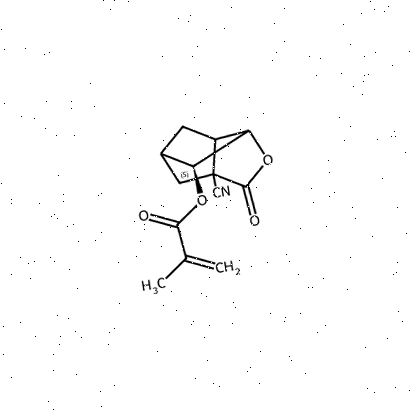 C=C(C)C(=O)O[C@H]1C2CC3C1OC(=O)C3(C#N)C2